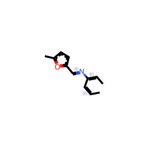 C\C=C/C(=C\C)/N=C/c1ccc(C)o1